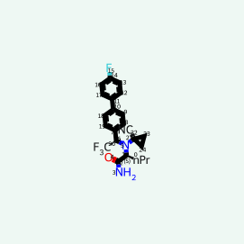 CCC[C@@H](C(N)=O)N([C@@H](c1ccc(-c2ccc(F)cc2)cc1)C(F)(F)F)C1(C#N)CC1